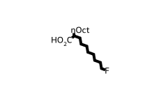 CCCCCCCCC(CCCCCCCCF)C(=O)O